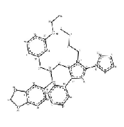 CCCCn1c(-n2cccn2)nc(-c2ccccc2)c1CN(Cc1cccc(OCC)c1)Cc1ccc2c(c1)OCO2